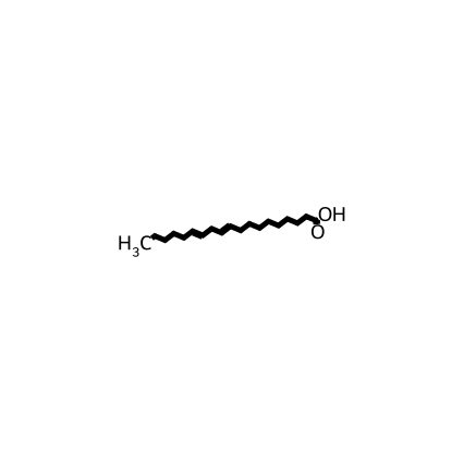 CCCCCC=CCC=CCCCCCCCCC(=O)O